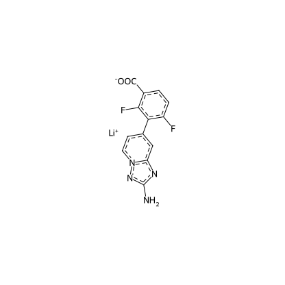 Nc1nc2cc(-c3c(F)ccc(C(=O)[O-])c3F)ccn2n1.[Li+]